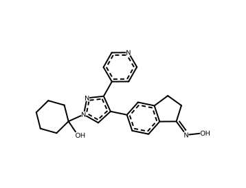 ON=C1CCc2cc(-c3cn(C4(O)CCCCC4)nc3-c3ccncc3)ccc21